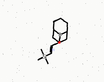 C[Si](C)(C)/C=C/CB1C2CCCC1CCC2